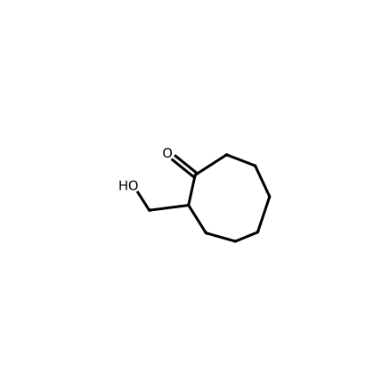 O=C1CCCCCCC1CO